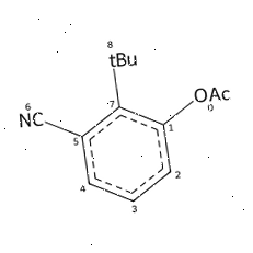 CC(=O)Oc1cccc(C#N)c1C(C)(C)C